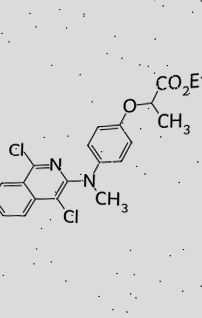 CCOC(=O)C(C)Oc1ccc(N(C)c2nc(Cl)c3ccccc3c2Cl)cc1